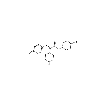 CCC1CCN(CC(=O)N(Cc2ccc(=O)[nH]c2)C2CCNCC2)CC1